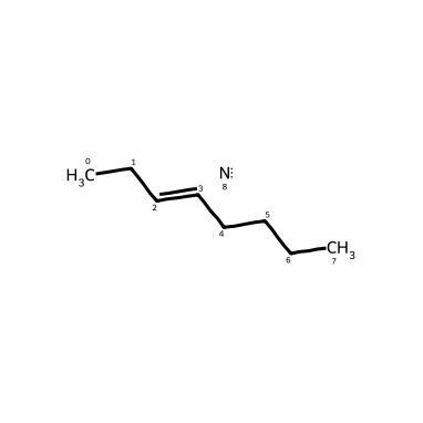 CCC=CCCCC.[N]